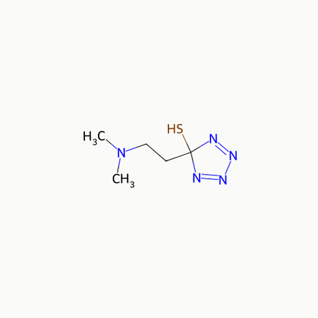 CN(C)CCC1(S)N=NN=N1